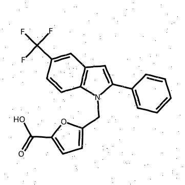 O=C(O)c1ccc(Cn2c(-c3ccccc3)cc3cc(C(F)(F)F)ccc32)o1